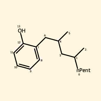 CCCCCC(C)CC(C)Cc1ccccc1O